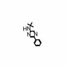 CC(C)(C)Nc1cnc(-c2ccccc2)cn1